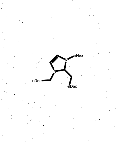 CCCCCCCCCCCC1N(CCCCCC)C=CN1CCCCCCCCCCC